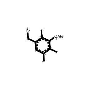 COc1c(C)c(C)cc(CBr)c1C